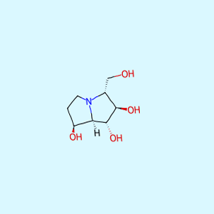 OC[C@@H]1[C@@H](O)[C@H](O)[C@H]2[C@@H](O)CCN21